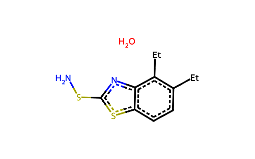 CCc1ccc2sc(SN)nc2c1CC.O